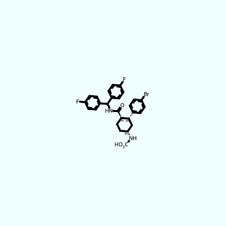 O=C(O)N[C@@H]1CC[C@@H](C(=O)NC(c2ccc(F)cc2)c2ccc(F)cc2)[C@H](c2ccc(Br)cc2)C1